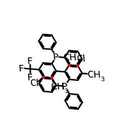 Cc1cc(P(c2ccccc2)c2ccccc2)c(-c2c(P(c3ccccc3)c3ccccc3)cc(C(F)(F)F)c(Cl)c2C)c(C)c1Cl